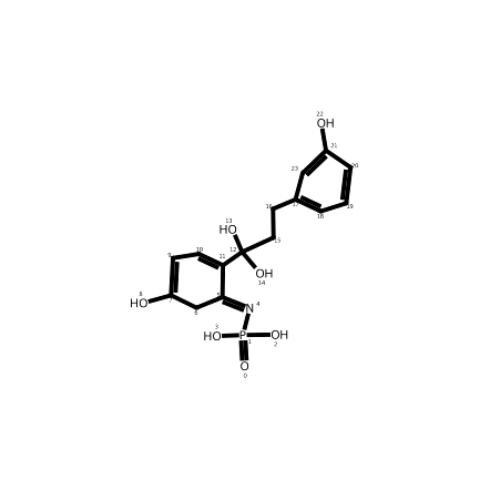 O=P(O)(O)N=C1CC(O)=CC=C1C(O)(O)CCc1cccc(O)c1